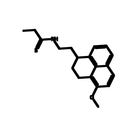 CCC(=S)NCCC1CCc2c(OC)ccc3cccc1c23